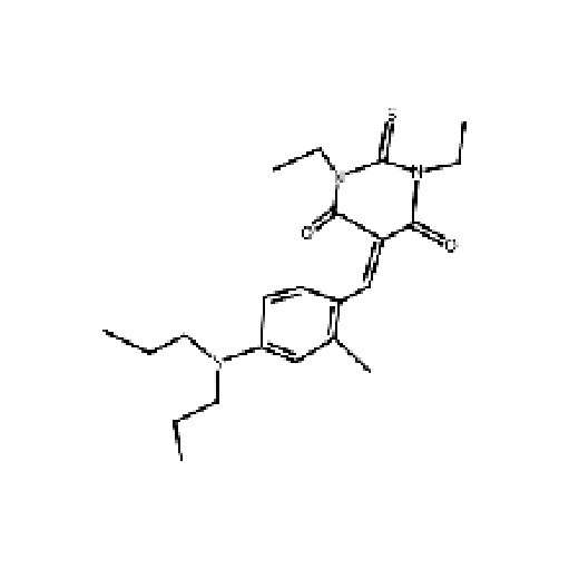 CCCN(CCC)c1ccc(C=C2C(=O)N(CC)C(=S)N(CC)C2=O)c(C)c1